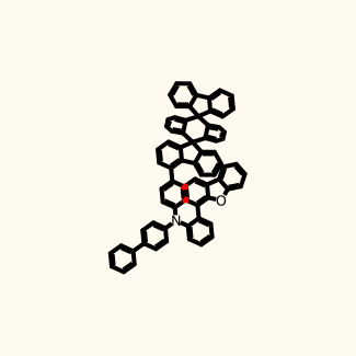 c1ccc(-c2ccc(N(c3ccc(-c4cccc5c4-c4ccccc4C54c5ccccc5C5(c6ccccc6-c6ccccc65)c5ccccc54)cc3)c3ccccc3-c3cccc4c3oc3ccccc34)cc2)cc1